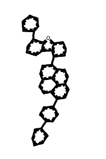 c1ccc(-c2ccc(-c3ccc4ccc5c(-c6cccc7oc8c(-c9ccccc9)cccc8c67)ccc6ccc3c4c65)cc2)cc1